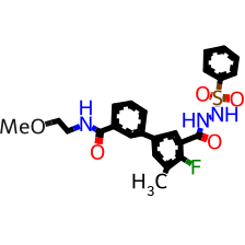 COCCNC(=O)c1cccc(-c2cc(C)c(F)c(C(=O)NNS(=O)(=O)c3ccccc3)c2)c1